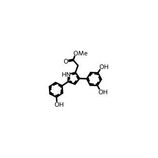 COC(=O)Cc1[nH]c(-c2cccc(O)c2)cc1-c1cc(O)cc(O)c1